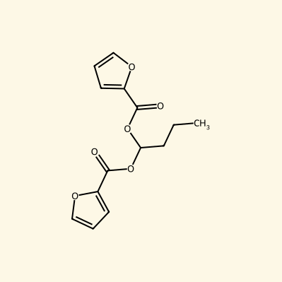 CCCC(OC(=O)c1ccco1)OC(=O)c1ccco1